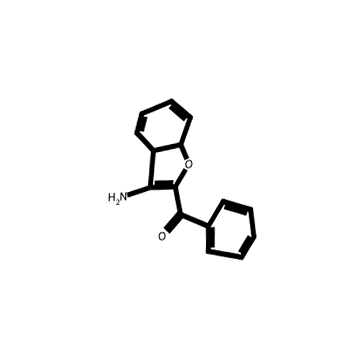 NC1=C(C(=O)c2ccccc2)OC2C=CC=CC12